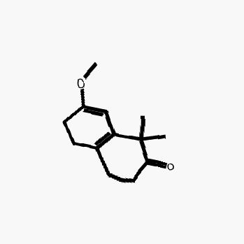 COC1=CC2=C(CCC(=O)C2(C)C)CC1